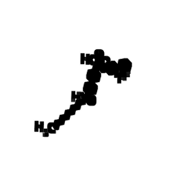 CCCCCCCCCCCCNC(=O)c1ccc(-c2ccc(CN(Cc3ccc(-c4ccccc4C(F)(F)F)cc3)C(=O)C(=O)O)cc2)cc1